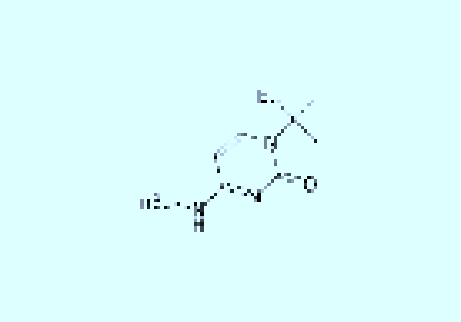 CCCCNc1ccn(C(C)(C)CC)c(=O)n1